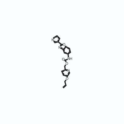 C=CCOc1ccc(COC(=O)Nc2ccc3oc(-c4cccnc4)nc3c2)nc1